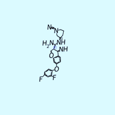 N#CN1CCC[C@@H](N/C(N)=C(/C=O)C(=N)c2ccc(Oc3ccc(F)cc3F)cc2)C1